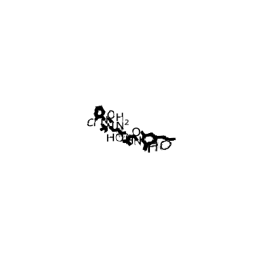 CC(O)CC1CC(C)C(NC(=O)[C@@H](C[C@H](O)[C@@H](N)CN2CC(=O)N(c3ccccc3Cl)CC2(C)C)C(C)C)C(C)C1